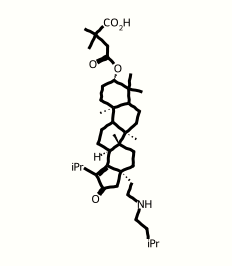 CC(C)CCNCC[C@@]12CC[C@]3(C)[C@H](CCC4[C@@]5(C)CC[C@H](OC(=O)CC(C)(C)C(=O)O)C(C)(C)C5CC[C@]43C)C1=C(C(C)C)C(=O)C2